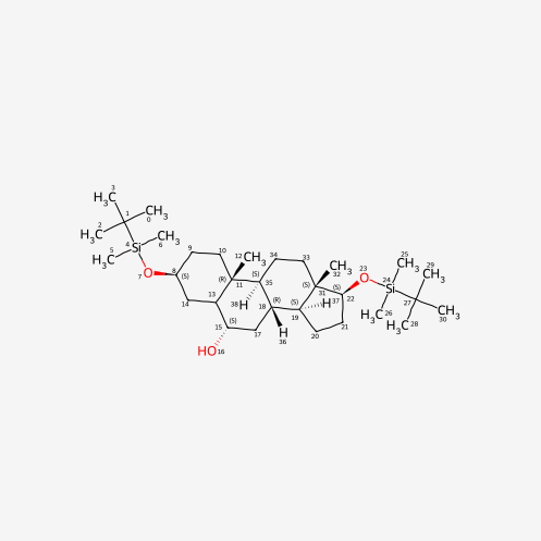 CC(C)(C)[Si](C)(C)O[C@H]1CC[C@@]2(C)C(C1)[C@@H](O)C[C@H]1[C@@H]3CC[C@H](O[Si](C)(C)C(C)(C)C)[C@@]3(C)CC[C@@H]12